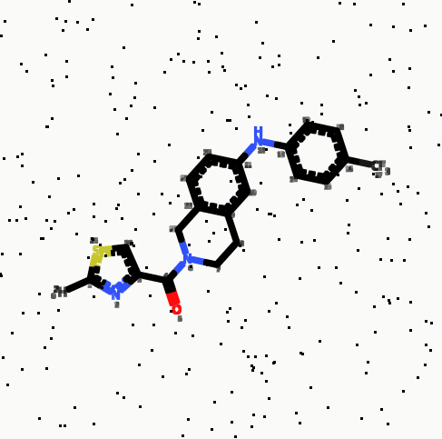 [2H]c1nc(C(=O)N2CCc3cc(Nc4ccc(C(F)(F)F)cc4)ccc3C2)cs1